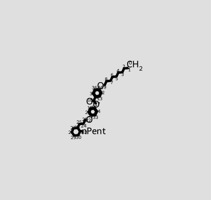 C=CCCCCCCCCOc1ccc(C(=O)Oc2ccc(OCCCC3CCCCC3CCCCC)cc2)cc1